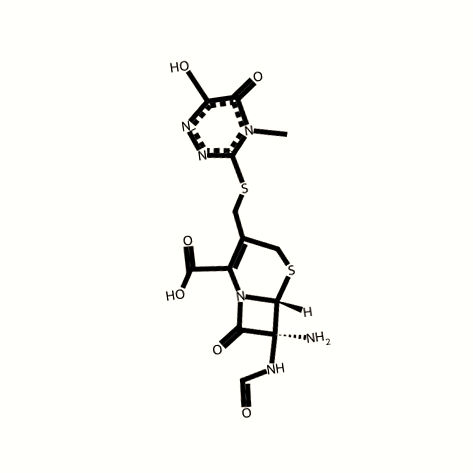 Cn1c(SCC2=C(C(=O)O)N3C(=O)[C@](N)(NC=O)[C@H]3SC2)nnc(O)c1=O